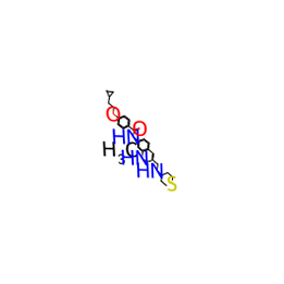 Cc1c(NC(=O)c2ccc(OCCC3CC3)cc2)ccc2c1NCC(CNC1CCSCC1)=C2